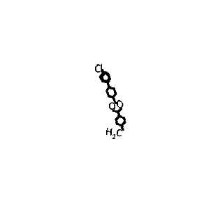 C=CC1CCC(C2COC(C3CCC(c4ccc(Cl)cc4)CC3)OC2)CC1